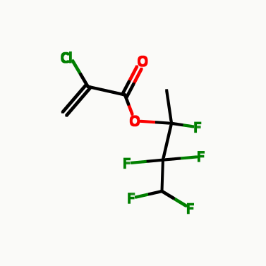 C=C(Cl)C(=O)OC(C)(F)C(F)(F)C(F)F